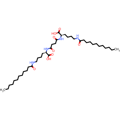 CCCCCCCCCCCC(=O)NCCCC[C@@H](NC(=O)CCC(=O)N[C@H](CCCCNC(=O)CCCCCCCCCCC)C(=O)O)C(=O)O